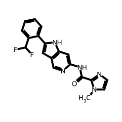 Cn1ccnc1C(=O)Nc1cc2[nH]c(-c3ccccc3C(F)F)cc2cn1